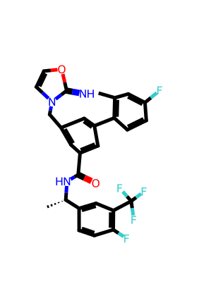 Cc1cc(F)ccc1-c1cc(Cn2ccoc2=N)cc(C(=O)N[C@@H](C)c2ccc(F)c(C(F)(F)F)c2)c1